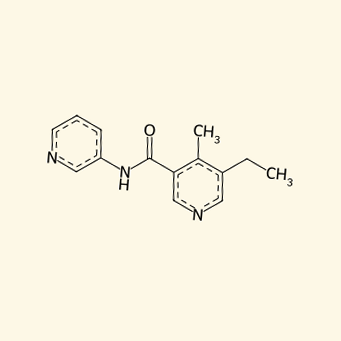 CCc1cncc(C(=O)Nc2cccnc2)c1C